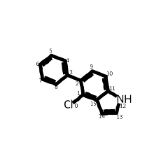 Clc1c(-c2ccccc2)ccc2[nH]ccc12